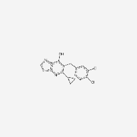 Oc1c(Cc2ccc(Cl)c(Cl)c2)c(C2CC2)nc2ccnn12